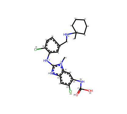 Cn1c(Nc2cc(CNC3(C)CCCCC3)ccc2Cl)nc2cc(Cl)c(NC(=O)O)cc21